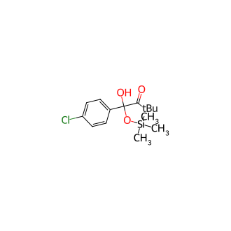 CC(C)(C)C(=O)C(O)(O[Si](C)(C)C)c1ccc(Cl)cc1